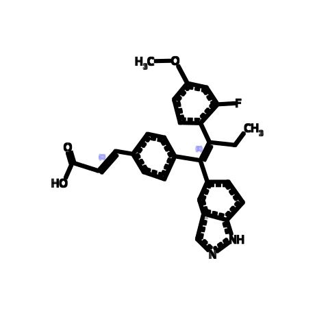 CC/C(=C(/c1ccc(/C=C/C(=O)O)cc1)c1ccc2[nH]ncc2c1)c1ccc(OC)cc1F